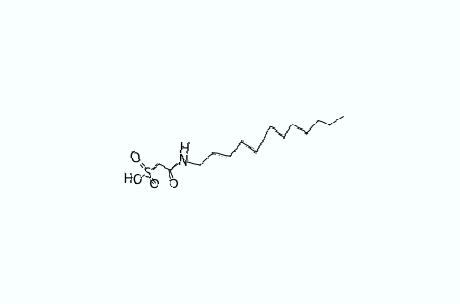 CCCCCCCCCCCCNC(=O)CS(=O)(=O)O